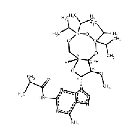 CO[C@@H]1[C@@H]2O[Si](C(C)C)(C(C)C)O[Si](C(C)C)(C(C)C)OC[C@H]2O[C@H]1n1cnc2c(N)nc(NC(=O)C(C)C)nc21